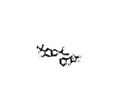 O=C1NC(=O)[C@@](CCC(=O)N2Cc3cc(Cl)c(C(F)(F)F)cc3C2)(c2ccccn2)N1